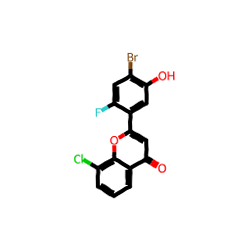 O=c1cc(-c2cc(O)c(Br)cc2F)oc2c(Cl)cccc12